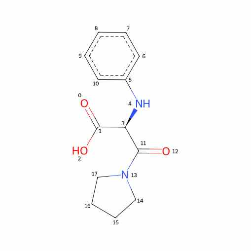 O=C(O)[C@@H](Nc1ccccc1)C(=O)N1CCCC1